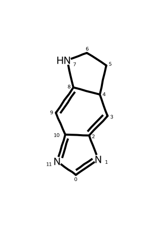 C1=NC2=CC3CCNC3=CC2=N1